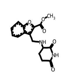 COC(=O)c1oc2ccccc2c1CNC1CCC(=O)NC1=O